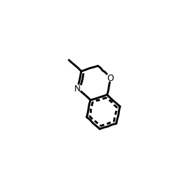 CC1=Nc2ccccc2OC1